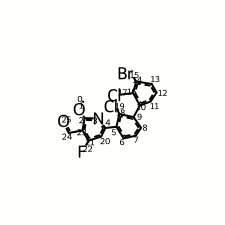 COc1nc(-c2cccc(-c3cccc(Br)c3Cl)c2Cl)cc(F)c1C=O